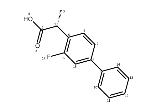 C[C@@H](C(=O)O)c1ccc(-c2ccccc2)cc1F